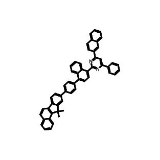 CC1(C)c2cc(-c3ccc(-c4ccc(-c5nc(-c6ccccc6)cc(-c6ccc7ccccc7c6)n5)c5ccccc45)cc3)ccc2-c2ccc3ccccc3c21